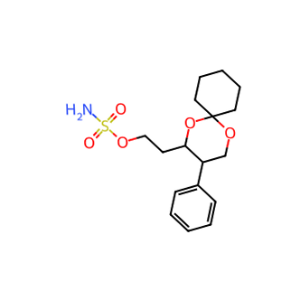 NS(=O)(=O)OCCC1OC2(CCCCC2)OCC1c1ccccc1